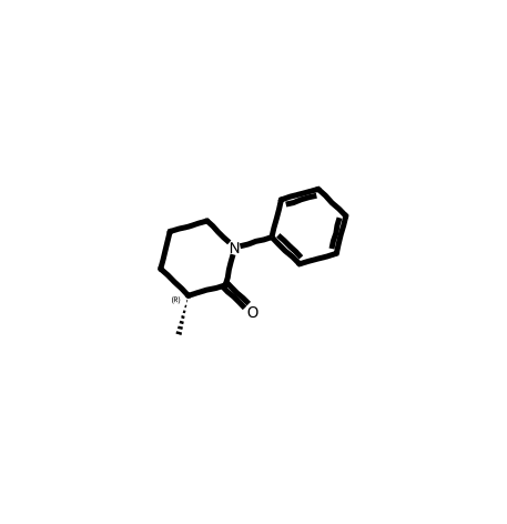 C[C@@H]1CCCN(c2ccccc2)C1=O